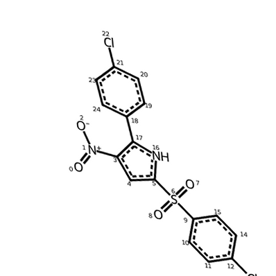 O=[N+]([O-])c1cc(S(=O)(=O)c2ccc(Cl)cc2)[nH]c1-c1ccc(Cl)cc1